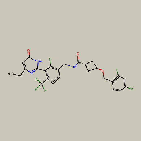 CCc1cc(=O)[nH]c(-c2c(C(F)(F)F)ccc(CNC(=O)[C@H]3C[C@H](OCc4ccc(F)cc4F)C3)c2F)n1